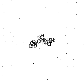 COC(=O)[C@@H]1CCCN1C(=O)c1ccc(Nc2ncc(Cl)c(-c3ccn(C(C)C)n3)n2)c(OC)c1